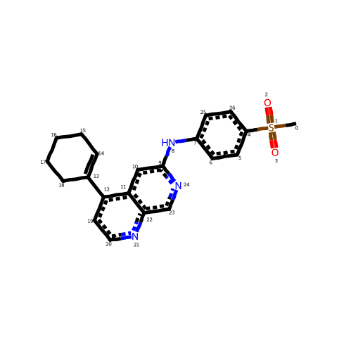 CS(=O)(=O)c1ccc(Nc2cc3c(C4=CCCCC4)ccnc3cn2)cc1